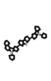 c1ccc(-n2c3ccccc3c3cc(-c4ccc5c(c4)sc4cc(-c6ccc7c(c6)c6c8ccccc8ccc6n7-c6ccccc6)ccc45)ccc32)cc1